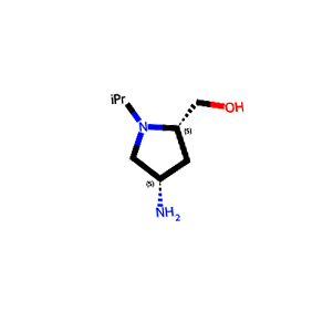 CC(C)N1C[C@@H](N)C[C@H]1CO